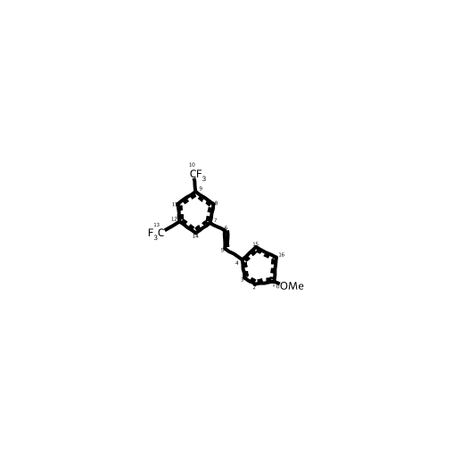 COc1ccc(/C=C/c2cc(C(F)(F)F)cc(C(F)(F)F)c2)cc1